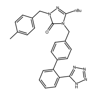 CCCCc1nn(Cc2ccc(C)cc2)c(=O)n1Cc1ccc(-c2ccccc2-c2nnn[nH]2)cc1